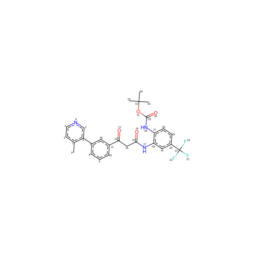 Cc1ccncc1-c1cccc(C(=O)CC(=O)Nc2cc(C(F)(F)F)ccc2NC(=O)OC(C)(C)C)c1